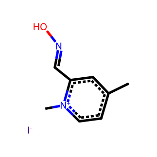 Cc1cc[n+](C)c(C=NO)c1.[I-]